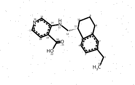 CCc1ccc2c(c1)CCC[C@H]2CNc1cnccc1C(=O)O